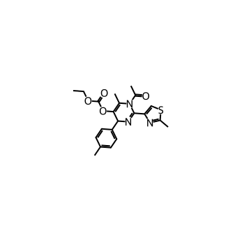 CCOC(=O)OC1=C(C)N(C(C)=O)C(c2csc(C)n2)=NC1c1ccc(C)cc1